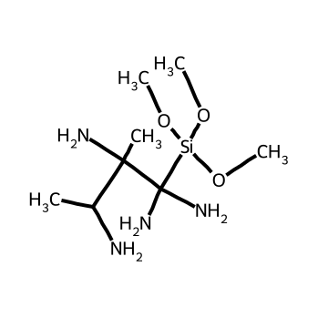 CO[Si](OC)(OC)C(N)(N)C(C)(N)C(C)N